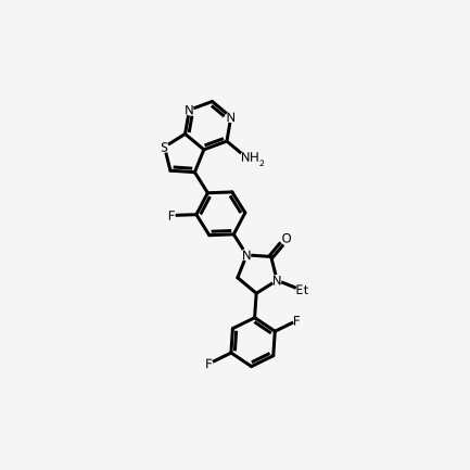 CCN1C(=O)N(c2ccc(-c3csc4ncnc(N)c34)c(F)c2)CC1c1cc(F)ccc1F